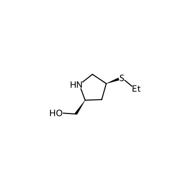 [CH2]CS[C@@H]1CN[C@H](CO)C1